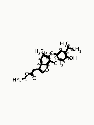 CCOC(=O)Cc1coc2c(C)c(Oc3ccc(O)c(C(C)C)c3)c(C)cc12